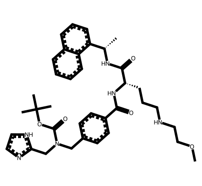 COCCNCCC[C@H](NC(=O)c1ccc(CN(Cc2ncc[nH]2)C(=O)OC(C)(C)C)cc1)C(=O)N[C@@H](C)c1cccc2ccccc12